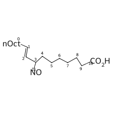 CCCCCCCC/C=C/C(CCCCCCC(=O)O)N=O